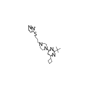 Cn1nccc1SCCCN1CCN(c2cc(C3CCC3)nc(C(C)(C)C)n2)CC1